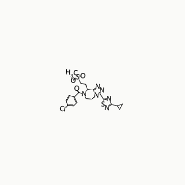 CS(=O)(=O)CC[C@H]1c2nnc(-c3nc(C4CC4)ns3)n2CCN1C(=O)c1ccc(Cl)cc1